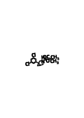 CC(C)(C)OC(=O)N1CC2CC2(c2cc(Cl)cc(Cl)c2)C1